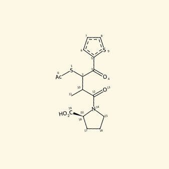 CC(=O)SC(C(=O)c1cccs1)C(C)C(=O)N1CCC[C@H]1C(=O)O